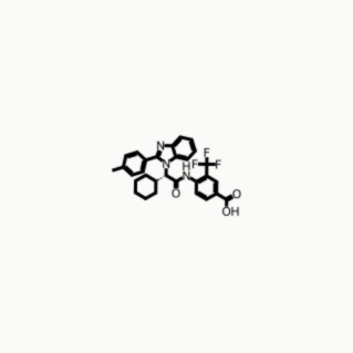 Cc1ccc(-c2nc3ccccc3n2[C@H](C(=O)Nc2ccc(C(=O)O)cc2C(F)(F)F)C2CCCCC2)cc1